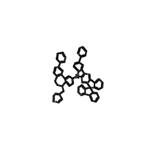 c1ccc(CC2CCc3ccc(-c4ccccc4)cc3-c3cc(-n4c5ccc(-c6ccccc6)cc5c5cc6c(cc54)C4(c5ccccc5-c5ccccc54)c4ccccc4-6)ccc32)cc1